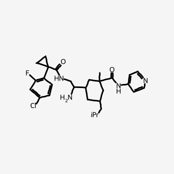 CC(C)CC1CC(C(N)CNC(=O)C2(c3ccc(Cl)cc3F)CC2)CC(C)(C(=O)Nc2ccncc2)C1